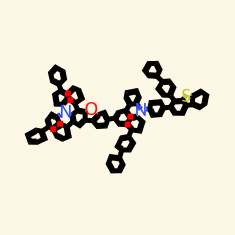 c1ccc(-c2ccc(-c3ccc(N(c4ccc(-c5ccc6c(sc7ccccc76)c5-c5ccc(-c6ccccc6)cc5)cc4)c4ccccc4-c4cccc(-c5ccc6c(c5)oc5c(-c7ccccc7)c(N(c7ccc(-c8ccccc8)cc7)c7ccc(-c8ccccc8)cc7)c(-c7ccccc7)cc56)c4)cc3)cc2)cc1